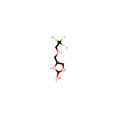 OC1OCC(COCC(F)(F)F)O1